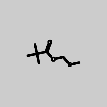 CSCOC(=O)C(C)(C)C